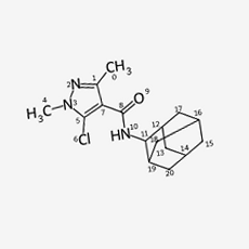 Cc1nn(C)c(Cl)c1C(=O)NC1C2CC3CC(C2)CC1C3